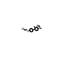 Cc1c(-c2ccc(OCCCl)cc2)ccc2c1ncn2C